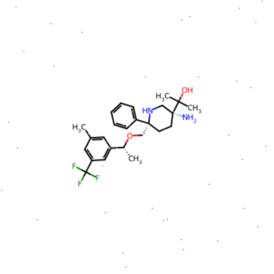 Cc1cc([C@@H](C)OC[C@@]2(c3ccccc3)CC[C@](N)(C(C)(C)O)CN2)cc(C(F)(F)F)c1